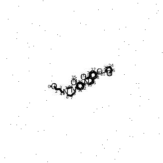 COCCCN1CCCN(c2ccc(-n3ccc4cc(OC[C@@H]5CCCO5)ccc4c3=O)cc2OC)CC1